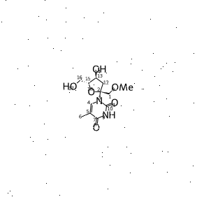 COC[C@]1(n2cc(C)c(=O)[nH]c2=O)C[C@H](O)[C@@H](CO)O1